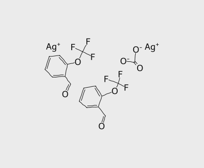 O=C([O-])[O-].O=Cc1ccccc1OC(F)(F)F.O=Cc1ccccc1OC(F)(F)F.[Ag+].[Ag+]